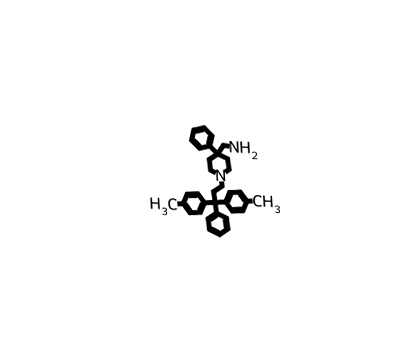 Cc1ccc(C(CCN2CCC(CN)(c3ccccc3)CC2)(c2ccccc2)c2ccc(C)cc2)cc1